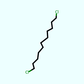 ClCCCCCCCCCCCCl